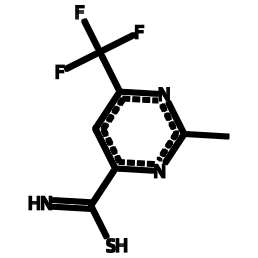 Cc1nc(C(=N)S)cc(C(F)(F)F)n1